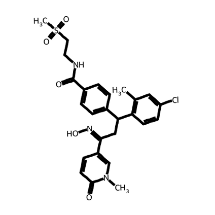 Cc1cc(Cl)ccc1C(CC(=NO)c1ccc(=O)n(C)c1)c1ccc(C(=O)NCCS(C)(=O)=O)cc1